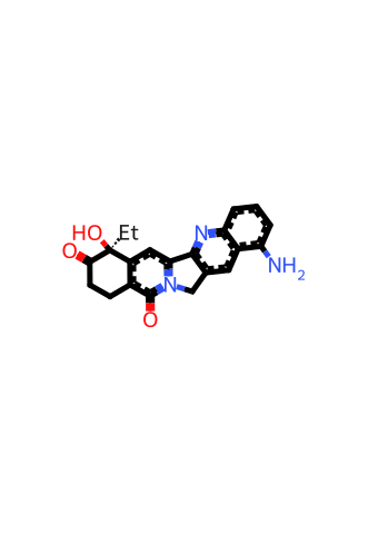 CC[C@@]1(O)C(=O)CCc2c1cc1n(c2=O)Cc2cc3c(N)cccc3nc2-1